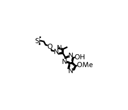 COc1cncc2nc(-c3cn(COCC[Si](C)(C)C)nc3C)nc(O)c12